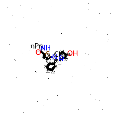 CCCNC(=O)c1ccc(N(C)[C@H](CN2CC[C@H](O)C2)c2ccccc2)s1